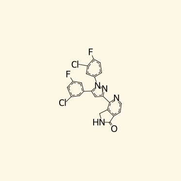 O=C1NCc2c1ccnc2-c1cc(-c2cc(F)cc(Cl)c2)n(-c2ccc(F)c(Cl)c2)n1